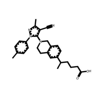 Cc1ccc(-n2nc(C)c(C#N)c2N2CCc3cc(C(C)CCCC(=O)O)ccc3C2)cc1